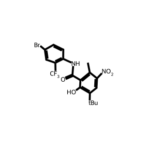 Cc1c([N+](=O)[O-])cc(C(C)(C)C)c(O)c1C(=O)Nc1ccc(Br)cc1C(F)(F)F